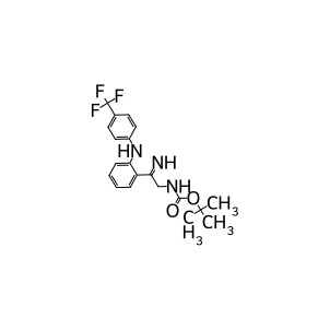 CC(C)(C)OC(=O)NCC(=N)c1ccccc1Nc1ccc(C(F)(F)F)cc1